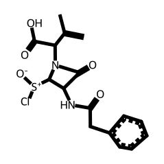 C=C(C)C(C(=O)O)N1C(=O)C(NC(=O)Cc2ccccc2)C1[S+]([O-])Cl